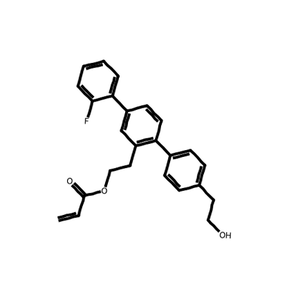 C=CC(=O)OCCc1cc(-c2ccccc2F)ccc1-c1ccc(CCO)cc1